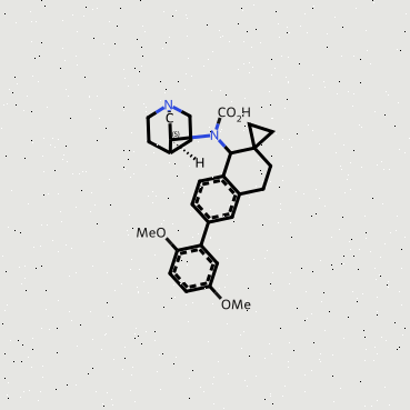 COc1ccc(OC)c(-c2ccc3c(c2)CCC2(CC2)C3N(C(=O)O)[C@@H]2CN3CCC2CC3)c1